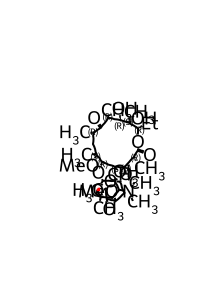 CC[C@H]1OC(=O)[C@H](C)[C@@H](OC2CC3(OC)OC3C(C)O2)[C@H](C)[C@@H](OC2OC(C)CC(N(C)C)C2O)[C@@](C)(OC)C[C@@H](C)C(=O)[C@H](C)[C@@H](O)[C@]1(C)O